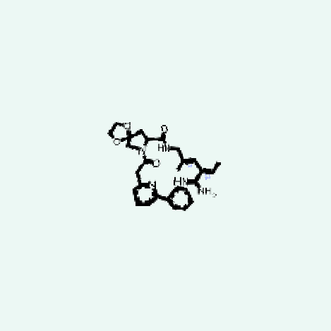 C/C=C(\C=C(/C)CNC(=O)C1CC2(CN1C(=O)Cc1cccc(-c3ccccc3)n1)OCCO2)C(=N)N